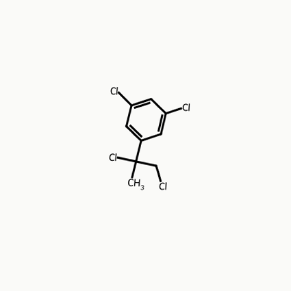 CC(Cl)(CCl)c1cc(Cl)cc(Cl)c1